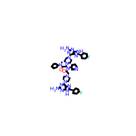 CN(C(=O)C(N1CCN(c2nc(N)nc3[nH]c(-c4ccc(F)cc4)nc23)CC1)N(C(=O)CN1CCN(c2nc(N)nc3[nH]c(-c4ccc(F)cc4)nc23)CC1)c1cccnc1)c1ccccc1